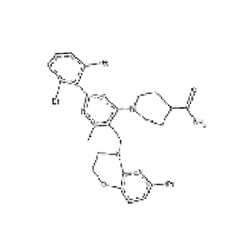 CCc1cccc(CC)c1-c1nc(C)c(CN2CCOc3ccc(C(C)C)nc32)c(N2CCC(C(N)=O)CC2)n1